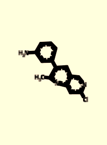 Cc1nc2cc(Cl)ncc2cc1-c1cccc(N)c1